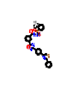 Cc1ccccc1S(=O)(=O)NC(=O)c1cccc(-c2nc(-c3ccc(-c4csc(-c5ccccc5)n4)cc3)no2)c1